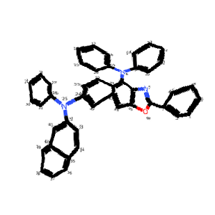 c1ccc(-c2nc3c(N(c4ccccc4)c4ccccc4)c4ccc(N(c5ccccc5)c5ccc6ccccc6c5)cc4cc3o2)cc1